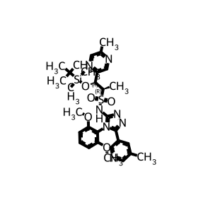 COc1cccc(OC)c1-n1c(NS(=O)(=O)[C@H](C)[C@H](O[Si](C)(C)C(C)(C)C)c2cnc(C)cn2)nnc1-c1cncc(C)c1